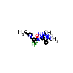 CCNc1cc(-c2ccccc2-c2nncn2C)cc(N2Cc3c(cc(CN4CCCC(CC)C4)cc3C(F)(F)F)C2=O)n1